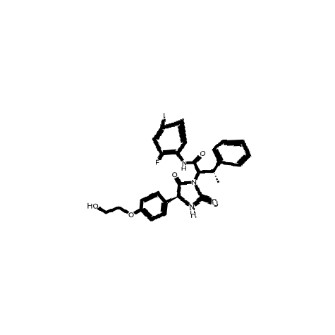 C[C@@H](c1ccccc1)C(C(=O)Nc1ccc(I)cc1F)N1C(=O)N[C@@H](c2ccc(OCCO)cc2)C1=O